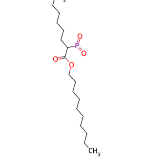 CCCCCCCCCCOC(=O)C(CCCCCC)P(=O)=O